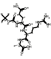 C[C@H](NC(=O)[C@H](CCCNC(=N)N)NC(=O)[C@H](CCC(=O)O)NC(=O)OC(C)(C)C)C(=O)O